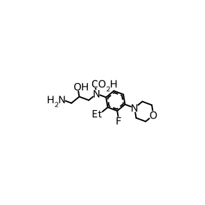 CCc1c(N(CC(O)CN)C(=O)O)ccc(N2CCOCC2)c1F